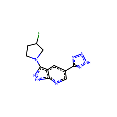 FC1CCN(c2n[nH]c3ncc(-c4nn[nH]n4)cc23)C1